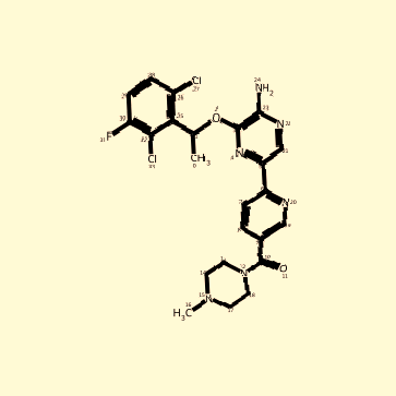 CC(Oc1nc(-c2ccc(C(=O)N3CCN(C)CC3)cn2)cnc1N)c1c(Cl)ccc(F)c1Cl